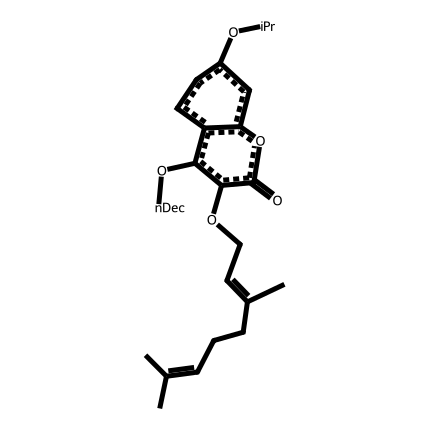 CCCCCCCCCCOc1c(OC/C=C(\C)CCC=C(C)C)c(=O)oc2cc(OC(C)C)ccc12